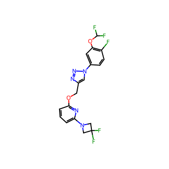 Fc1ccc(-n2cc(COc3cccc(N4CC(F)(F)C4)n3)nn2)cc1OC(F)F